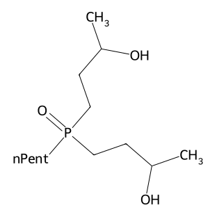 CCCCCP(=O)(CCC(C)O)CCC(C)O